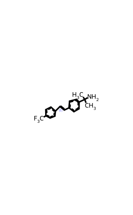 CC(C)(N)c1ccc(/C=C/c2ccc(C(F)(F)F)cc2)cc1